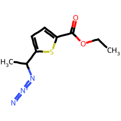 CCOC(=O)c1ccc(C(C)N=[N+]=[N-])s1